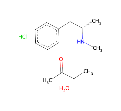 CCC(C)=O.CN[C@@H](C)Cc1ccccc1.Cl.O